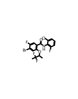 CC(Oc1cc(Br)c(F)cc1C(=O)Nc1c(F)cccc1Cl)C(C)(F)F